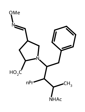 CCCC(C(C)NC(C)=O)C(Cc1ccccc1)N1CC(C=NOC)CC1C(=O)O